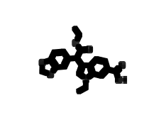 CCOC(=O)C(c1ccc2c(c1)OCO2)c1cn(CC)c2cc(C(=O)O)ccc12